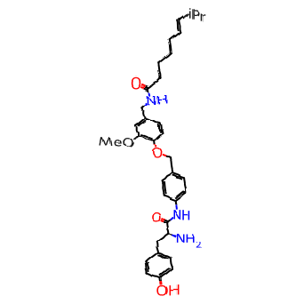 COc1cc(CNC(=O)CCCC/C=C/C(C)C)ccc1OCc1ccc(NC(=O)[C@@H](N)Cc2ccc(O)cc2)cc1